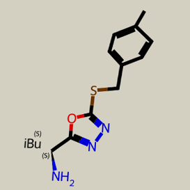 CC[C@H](C)[C@H](N)c1nnc(SCc2ccc(C)cc2)o1